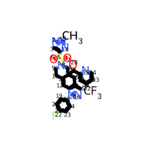 Cn1ncc(S(=O)(=O)N2CCC3=Cc4c(cnn4-c4ccc(F)cc4)CC3(C(=O)c3cc(C(F)(F)F)ccn3)C2)n1